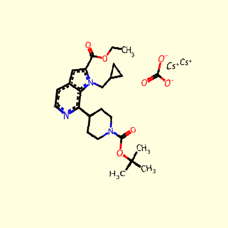 CCOC(=O)c1cc2ccnc(C3CCN(C(=O)OC(C)(C)C)CC3)c2n1CC1CC1.O=C([O-])[O-].[Cs+].[Cs+]